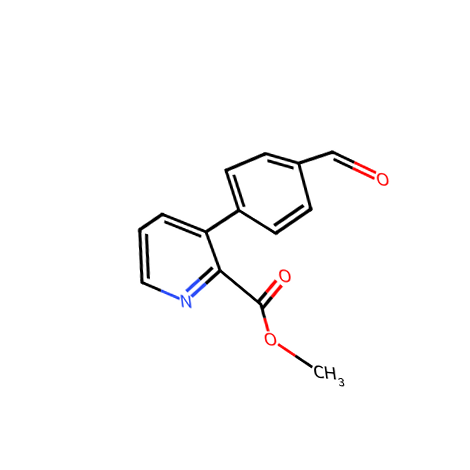 COC(=O)c1ncccc1-c1ccc(C=O)cc1